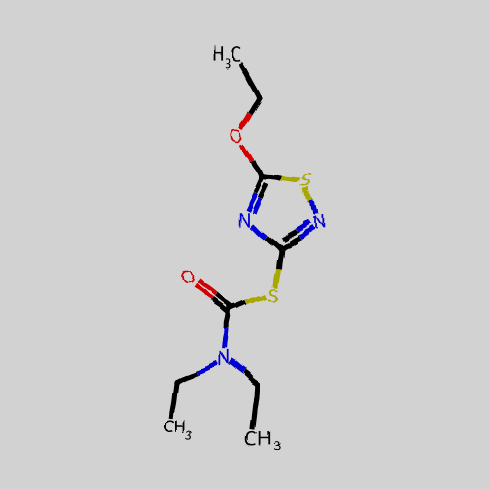 CCOc1nc(SC(=O)N(CC)CC)ns1